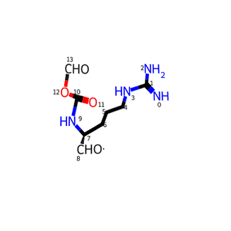 N=C(N)NCCC[C@@H]([C]=O)NC(=O)OC=O